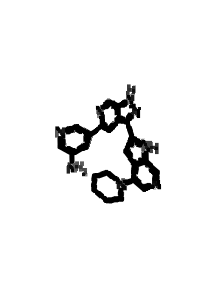 Nc1cncc(-c2cc3c(-c4cc5c(N6CCCCC6)cncc5[nH]4)n[nH]c3cn2)c1